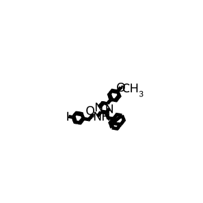 COc1ccc(-c2cnc(NC(=O)Cc3ccc(I)cc3)c(CC34CC5CC(CC(C5)C3)C4)n2)cc1